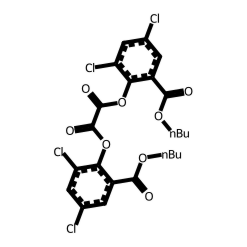 CCCCOC(=O)c1cc(Cl)cc(Cl)c1OC(=O)C(=O)Oc1c(Cl)cc(Cl)cc1C(=O)OCCCC